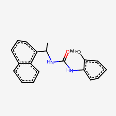 COc1ccccc1NC(=O)NC(C)c1cccc2ccccc12